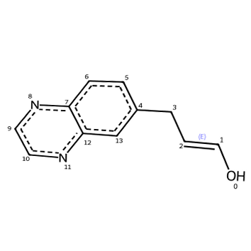 O/C=C/Cc1ccc2nccnc2c1